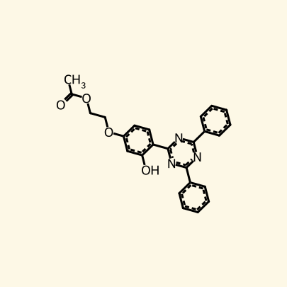 CC(=O)OCCOc1ccc(-c2nc(-c3ccccc3)nc(-c3ccccc3)n2)c(O)c1